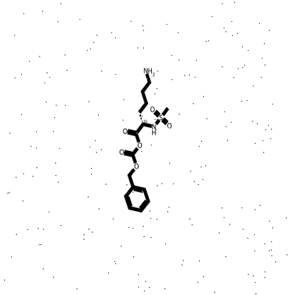 CS(=O)(=O)N[C@@H](CCCCN)C(=O)OC(=O)OCc1ccccc1